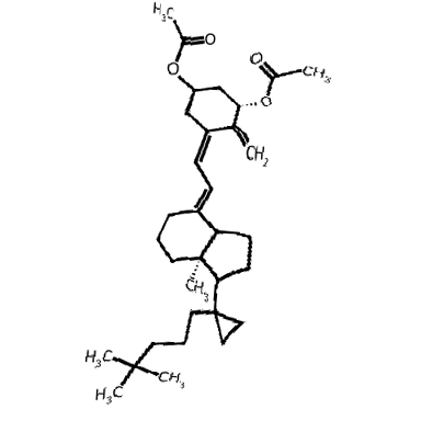 C=C1/C(=C\C=C2/CCC[C@@]3(C)C2CCC3C2(CCCC(C)(C)C)CC2)CC(OC(C)=O)C[C@@H]1OC(C)=O